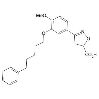 COc1ccc(C2=NOC(C(=O)O)C2)cc1OCCCCCc1ccccc1